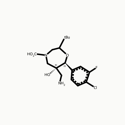 CC(C)(C)C1CN(C(=O)O)C[C@](O)(CN)[C@H](c2ccc(Cl)c(F)c2)O1